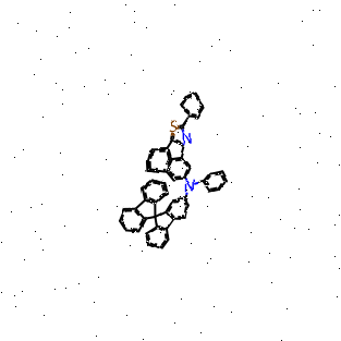 c1ccc(-c2nc3c(s2)-c2cccc4cc(N(c5ccccc5)c5ccc6c(c5)C5(c7ccccc7-c7ccccc75)c5ccccc5-6)cc-3c24)cc1